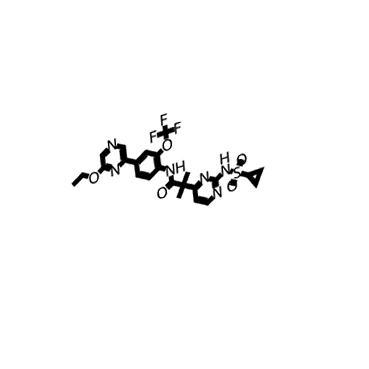 CCOc1cncc(-c2ccc(NC(=O)C(C)(C)c3ccnc(NS(=O)(=O)C4CC4)n3)c(OC(F)(F)F)c2)n1